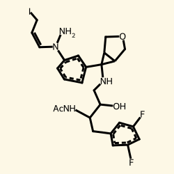 CC(=O)NC(Cc1cc(F)cc(F)c1)C(O)CNC1(c2cccc(N(N)/C=C\CI)c2)C2COCC21